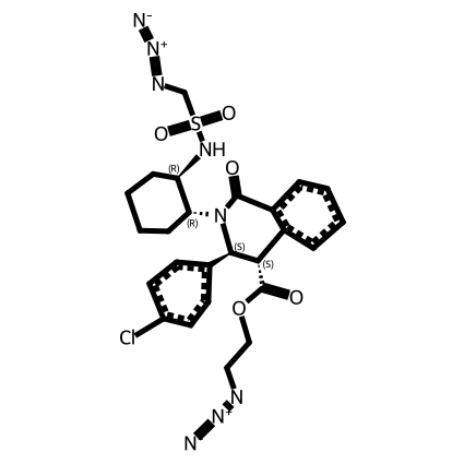 [N-]=[N+]=NCCOC(=O)[C@H]1c2ccccc2C(=O)N([C@@H]2CCCC[C@H]2NS(=O)(=O)CN=[N+]=[N-])[C@@H]1c1ccc(Cl)cc1